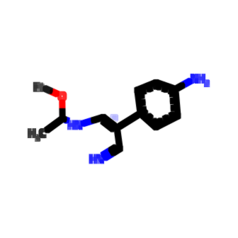 CCOC(C)N/C=C(\C=N)c1ccc(N)cc1